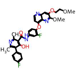 COCCOc1cc2nccc(Oc3ccc(NC(=O)c4c(C)nc(C)c(-c5ccc(F)cc5)c4O)cc3F)c2nc1OC